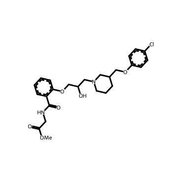 COC(=O)CNC(=O)c1ccccc1OCC(O)CN1CCCC(COc2ccc(Cl)cc2)C1